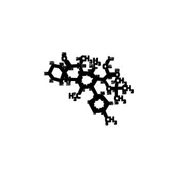 Cc1ccc(-c2c(C)c3c(c(C)c2[C@H](OC(C)(C)C)C(=O)OI)N(C)C(=O)C2(CCCCC2)N3)cc1